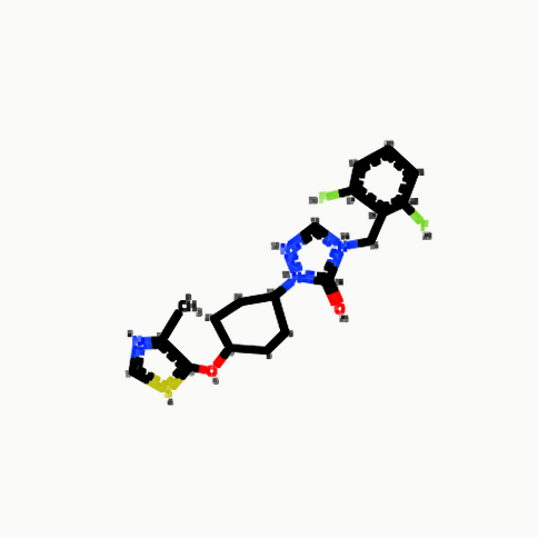 Cc1ncsc1OC1CCC(n2ncn(Cc3c(F)cccc3F)c2=O)CC1